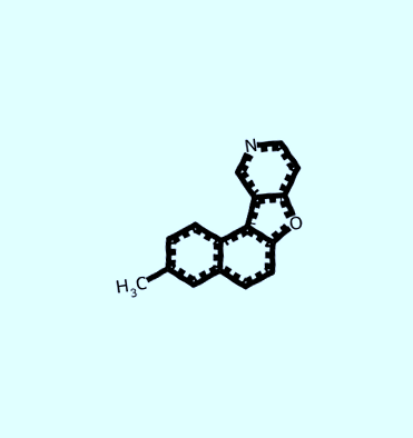 Cc1ccc2c(ccc3oc4ccncc4c32)c1